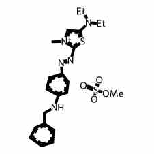 CCN(CC)c1c[n+](C)c(N=Nc2ccc(NCc3ccccc3)cc2)s1.COS(=O)(=O)[O-]